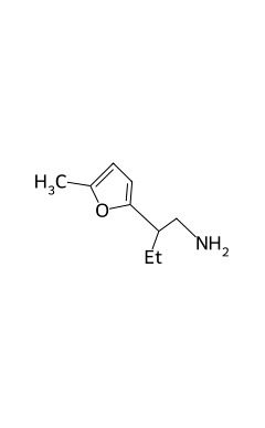 CCC(CN)c1ccc(C)o1